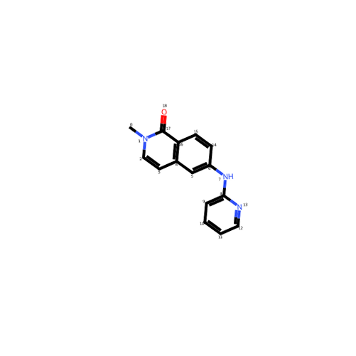 Cn1ccc2cc(Nc3ccccn3)ccc2c1=O